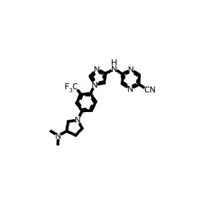 CN(C)C1CCN(c2ccc(-n3cnc(Nc4cnc(C#N)cn4)c3)c(C(F)(F)F)c2)C1